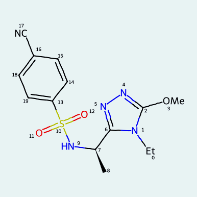 CCn1c(OC)nnc1[C@@H](C)NS(=O)(=O)c1ccc(C#N)cc1